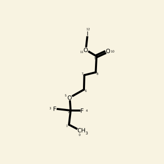 CCC(F)(F)OCCCC(=O)OI